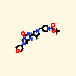 CC1CN(CC2CCN(C(=O)OC(C)(C)C)CC2)CC1C1=NC2=CN(C3CCOCC3)CN2C(=O)N1